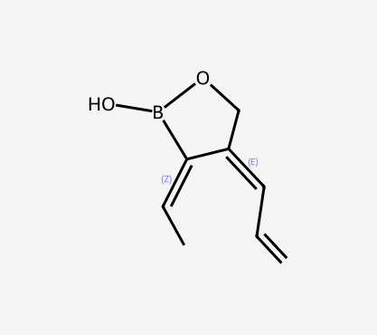 C=C/C=C1/COB(O)/C1=C/C